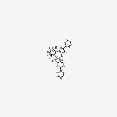 Cc1sc(-c2ccccc2)nc1C1=C(c2sc3ccc(-c4ccccc4)cc3c2C)C(F)(F)C(F)(F)C1(F)F